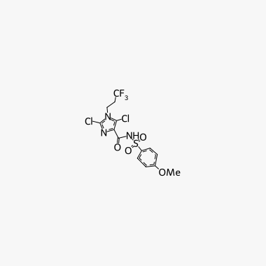 COc1ccc(S(=O)(=O)NC(=O)c2nc(Cl)n(CCC(F)(F)F)c2Cl)cc1